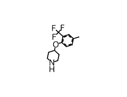 Cc1ccc(OC2CCNCC2)c(C(F)(F)F)c1